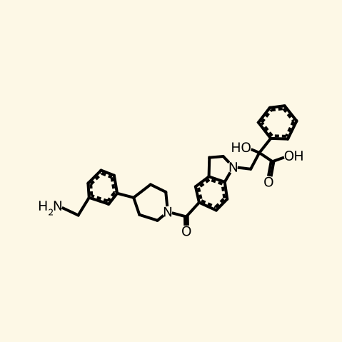 NCc1cccc(C2CCN(C(=O)c3ccc4c(c3)CCN4CC(O)(C(=O)O)c3ccccc3)CC2)c1